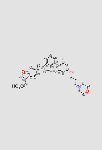 Cc1cc(OCCCN2CCOCC2)cc(C)c1-c1cccc2c1CCC2Oc1ccc2c(c1)OCC2CC(=O)O